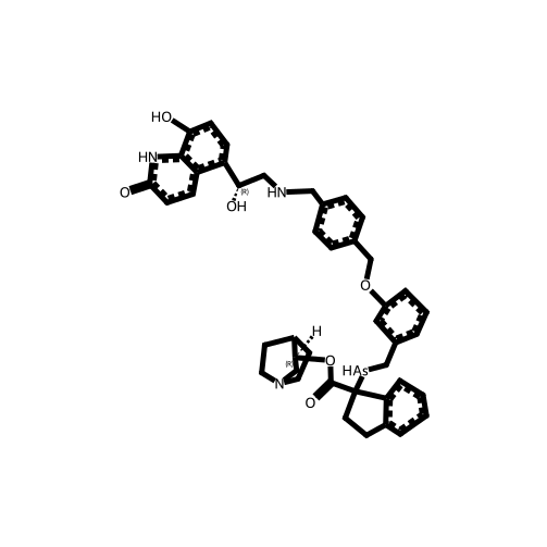 O=C(O[C@H]1CN2CCC1CC2)C1([AsH]Cc2cccc(OCc3ccc(CNC[C@H](O)c4ccc(O)c5[nH]c(=O)ccc45)cc3)c2)CCc2ccccc21